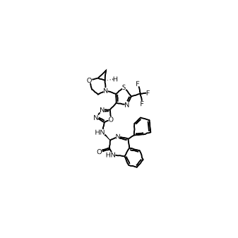 O=C1Nc2ccccc2C(c2ccccc2)=N[C@@H]1Nc1nnc(-c2nc(C(F)(F)F)sc2N2CCOC3C[C@H]32)o1